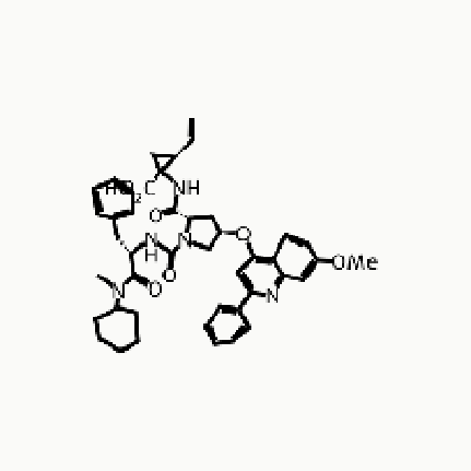 C=C[C@@H]1C[C@]1(NC(=O)[C@@H]1C[C@@H](Oc2cc(-c3ccccc3)nc3cc(OC)ccc23)CN1C(=O)N[C@@H](Cc1ccccc1)C(=O)N(C)C1CCCCC1)C(=O)O